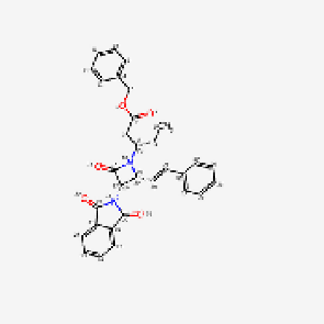 CC[C@@H](CC(=O)OCc1ccccc1)N1C(=O)[C@@H](N2C(=O)c3ccccc3C2=O)[C@H]1C=Cc1ccccc1